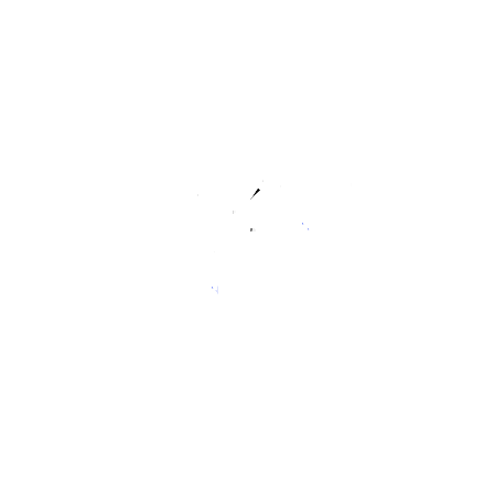 C[C@H]([C@H](CNc1ccccc1Cl)c1cc2ccccc2cn1)C(F)(F)F